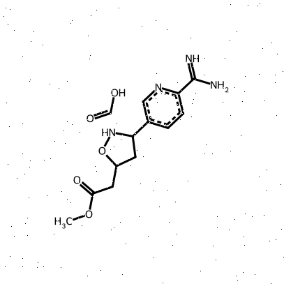 COC(=O)CC1CC(c2ccc(C(=N)N)nc2)NO1.O=CO